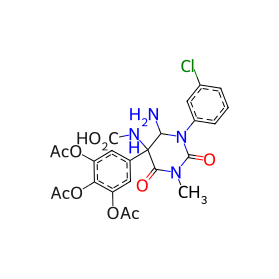 CC(=O)Oc1cc(C2(NC(=O)O)C(=O)N(C)C(=O)N(c3cccc(Cl)c3)C2N)cc(OC(C)=O)c1OC(C)=O